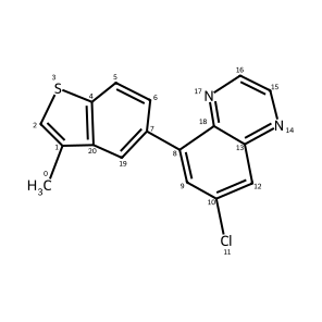 Cc1csc2ccc(-c3cc(Cl)cc4nccnc34)cc12